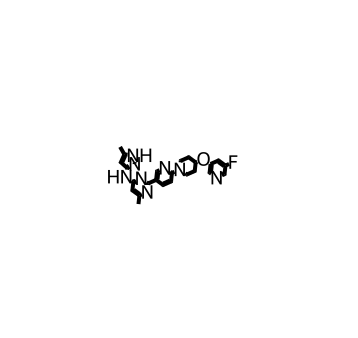 Cc1cc(Nc2cc(C)[nH]n2)nc(-c2ccc(N3CCC(Oc4cncc(F)c4)CC3)nc2)n1